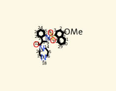 COc1ccc(S(=O)(=O)N2CC(C(=O)N3CCCN(C)CC3)c3ccccc32)c2ccccc12